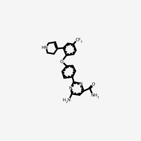 NC(=O)c1cc(N)nc(-c2ccc(Oc3ccc(C(F)(F)F)cc3C3=CCNCC3)cc2)n1